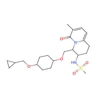 Cc1ccc2n(c1=O)C(COC1CCC(OCC3CC3)CC1)C(NS(C)(=O)=O)CC2